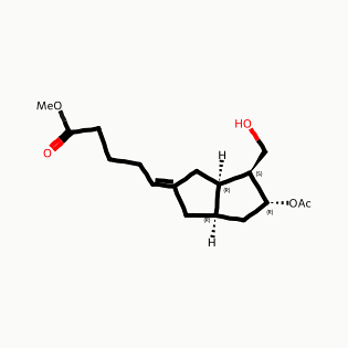 COC(=O)CCCC=C1C[C@@H]2C[C@@H](OC(C)=O)[C@H](CO)[C@@H]2C1